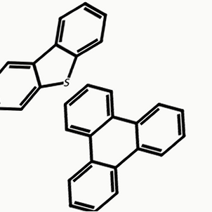 c1ccc2c(c1)c1ccccc1c1ccccc21.c1ccc2c(c1)sc1ccccc12